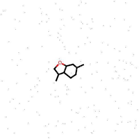 CC1CCC2C(C)COC2C1